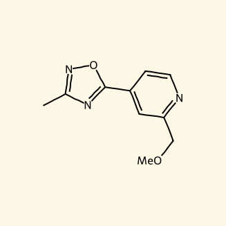 COCc1cc(-c2nc(C)no2)ccn1